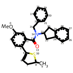 COc1ccc(C2=CCC(C)S2)c(C(=O)N(Cc2ccccc2)C2Cc3ccccc3C2)c1